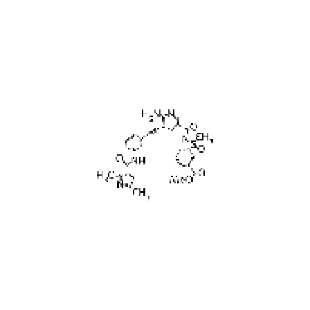 COC(=O)c1cccc(S(C)(=O)=NC(=O)c2cnc(N)c(C#Cc3cccc(NC(=O)c4cc(C)nn4C)c3)c2)c1